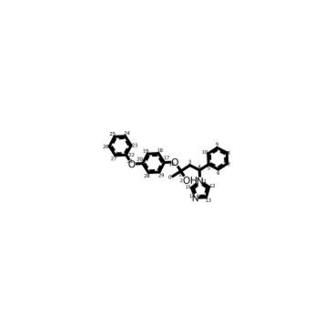 CC(O)(CC(c1ccccc1)n1ccnc1)Oc1ccc(Oc2ccccc2)cc1